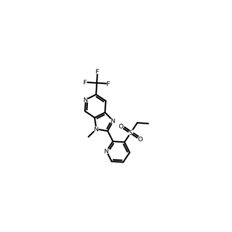 CCS(=O)(=O)c1cccnc1-c1nc2cc(C(F)(F)F)ncc2n1C